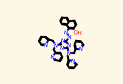 Oc1ccc2ccccc2c1/N=N/c1nc(N(Cc2ccccn2)Cc2ccccn2)nc(N(Cc2ccccn2)Cc2ccccn2)n1